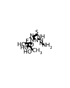 C#C[C@@]1(F)C(O)[C@@H]([C@H](C)O)O[C@H]1n1cnc2c(=S)[nH]c(N=NN)nc21